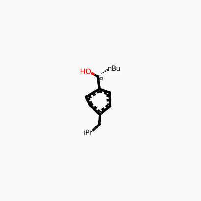 CCCC[C@@H](O)c1ccc(CC(C)C)cc1